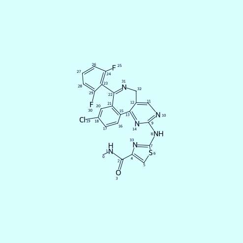 CNC(=O)c1csc(Nc2ncc3c(n2)-c2ccc(Cl)cc2C(c2c(F)cccc2F)=NC3)n1